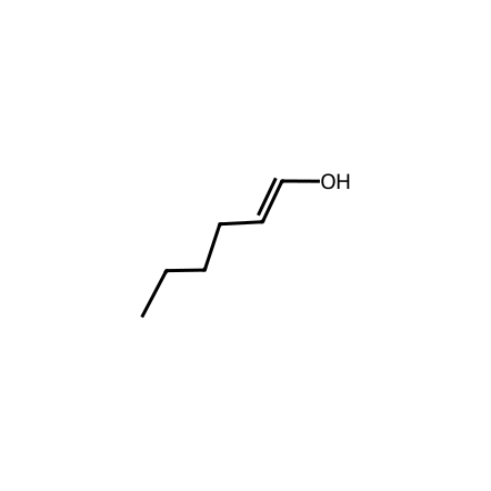 CCCCC=CO